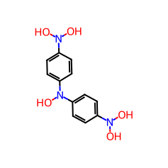 ON(O)c1ccc(N(O)c2ccc(N(O)O)cc2)cc1